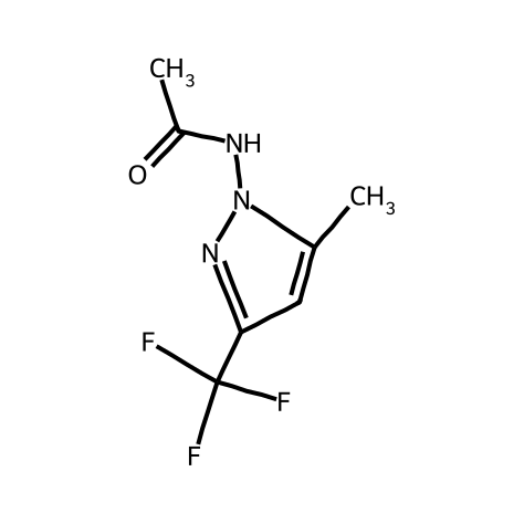 CC(=O)Nn1nc(C(F)(F)F)cc1C